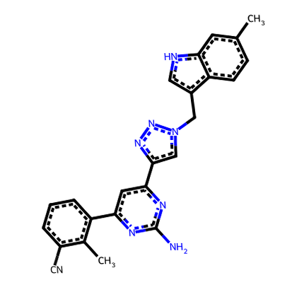 Cc1ccc2c(Cn3cc(-c4cc(-c5cccc(C#N)c5C)nc(N)n4)nn3)c[nH]c2c1